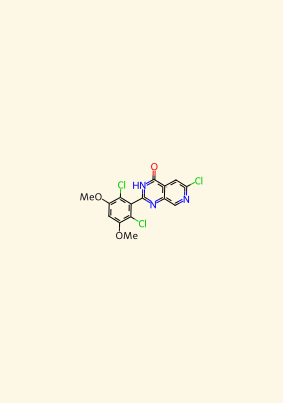 COc1cc(OC)c(Cl)c(-c2nc3cnc(Cl)cc3c(=O)[nH]2)c1Cl